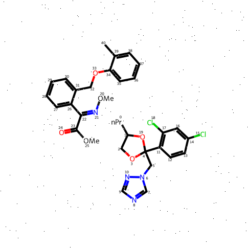 CCCC1COC(Cn2cncn2)(c2ccc(Cl)cc2Cl)O1.CO/N=C(/C(=O)OC)c1ccccc1COc1ccccc1C